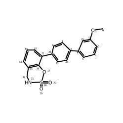 COc1cccc(-c2ccc(-c3cccc4c3OS(=O)(=O)NC4)cc2)c1